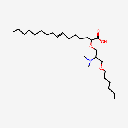 CCCCCCCCC=CCCCCC(OCC(COCCCCCC)N(C)C)C(=O)O